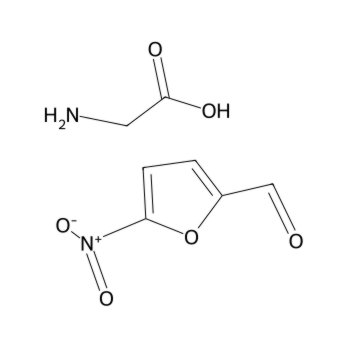 NCC(=O)O.O=Cc1ccc([N+](=O)[O-])o1